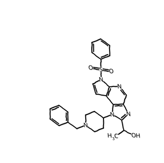 CC(O)c1nc2cnc3c(ccn3S(=O)(=O)c3ccccc3)c2n1C1CCN(Cc2ccccc2)CC1